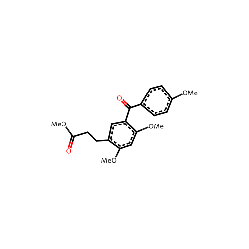 COC(=O)CCc1cc(C(=O)c2ccc(OC)cc2)c(OC)cc1OC